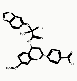 COc1ccc2c(c1)O[C@@H](c1ccc(C(=O)O)cc1)C[C@H]2NC(=O)C(C)(C)Oc1ccc2c(c1)OCO2